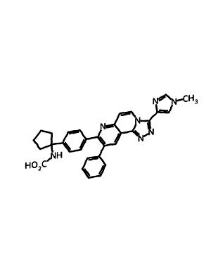 Cn1cnc(-c2nnc3c4cc(-c5ccccc5)c(-c5ccc(C6(NC(=O)O)CCCC6)cc5)nc4ccn23)c1